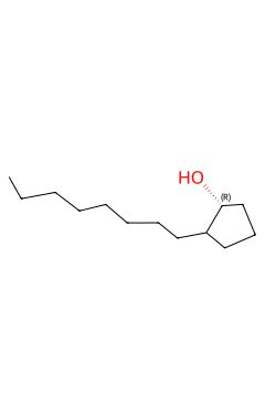 CCCCCCCCC1CCC[C@H]1O